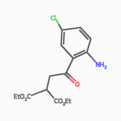 CCOC(=O)C(CC(=O)c1cc(Cl)ccc1N)C(=O)OCC